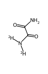 [2H]N([2H])C(=O)C(N)=O